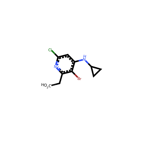 O=C(O)Cc1nc(Cl)cc(NC2CC2)c1Br